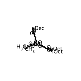 CCCCCCCCCCCOC(=O)CCCCCN1C[C@@H](OC(=O)CCN(C)C)C[C@H]1C(=O)OCCCCC(=O)OC(CCCCCCCC)CCCCCCCC